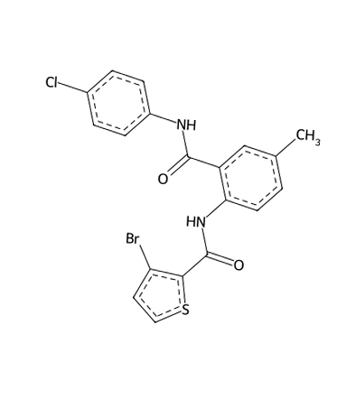 Cc1ccc(NC(=O)c2sccc2Br)c(C(=O)Nc2ccc(Cl)cc2)c1